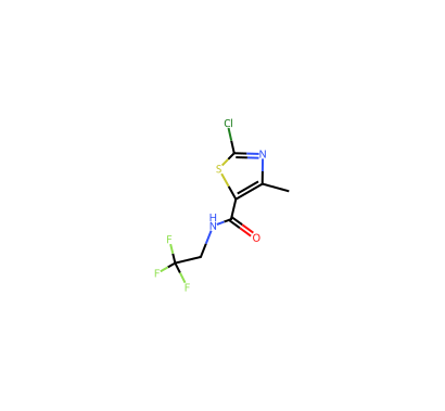 Cc1nc(Cl)sc1C(=O)NCC(F)(F)F